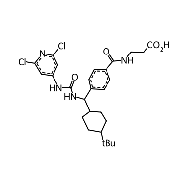 CC(C)(C)C1CCC(C(NC(=O)Nc2cc(Cl)nc(Cl)c2)c2ccc(C(=O)NCCC(=O)O)cc2)CC1